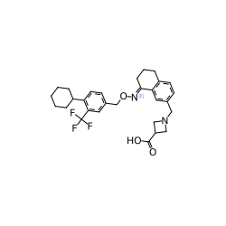 O=C(O)C1CN(Cc2ccc3c(c2)/C(=N/OCc2ccc(C4CCCCC4)c(C(F)(F)F)c2)CCC3)C1